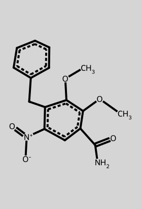 COc1c(C(N)=O)cc([N+](=O)[O-])c(Cc2ccccc2)c1OC